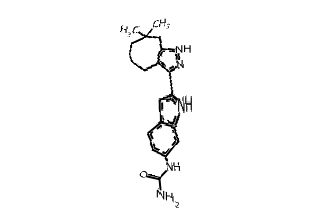 CC1(C)CCCc2c(-c3cc4ccc(NC(N)=O)cc4[nH]3)n[nH]c2C1